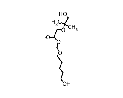 CC(C)(CO)OCC([O])OCOCCCCCO